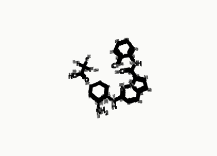 N[C@H]1CCCC[C@H]1Nc1ccc2ccc(C(=O)Nc3ccccc3Cl)n2n1.O=C(O)C(F)(F)F